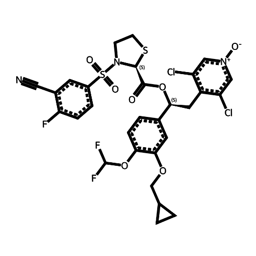 N#Cc1cc(S(=O)(=O)N2CCS[C@H]2C(=O)O[C@@H](Cc2c(Cl)c[n+]([O-])cc2Cl)c2ccc(OC(F)F)c(OCC3CC3)c2)ccc1F